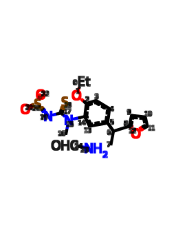 CCOc1ccc(C(C)c2ccco2)cc1N(C)C(=S)N=S(=O)=O.NC=O